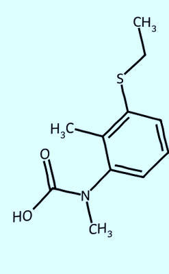 CCSc1cccc(N(C)C(=O)O)c1C